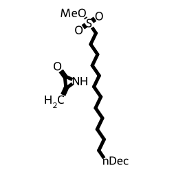 C=C1NC1=O.CCCCCCCCCCCCCCCCCCCCCCS(=O)(=O)OC